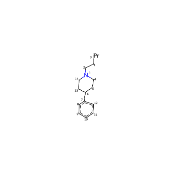 CC(C)CCN1CCC(c2ccccc2)CC1